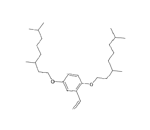 [CH]=Cc1cc(OCCC(C)CCCC(C)C)[c]cc1OCCC(C)CCCC(C)C